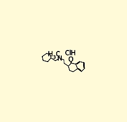 CN(CCC1CCc2ccccc2C1=O)CC1CCCCC1.Cl